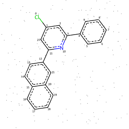 Clc1cc(-c2ccccc2)nc(-c2ccc3ccccc3c2)c1